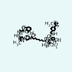 Cc1nc(Nc2ncc(C(=O)Nc3c(C)cccc3Cl)s2)cc(N2CCN(C(=O)CCCCCCCC(=O)NC(C(=O)N3C[C@H](O)C[C@H]3C(=O)NCc3ccc(-c4scnc4C)cc3)C(C)(C)C)CC2)n1